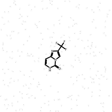 O=c1[nH]ccc2nc(C(F)(F)F)cn12